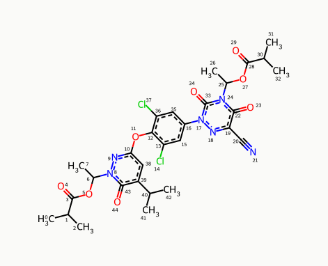 CC(C)C(=O)OC(C)n1nc(Oc2c(Cl)cc(-n3nc(C#N)c(=O)n(C(C)OC(=O)C(C)C)c3=O)cc2Cl)cc(C(C)C)c1=O